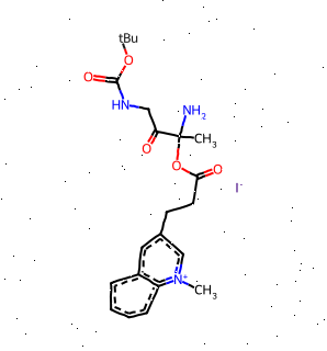 C[n+]1cc(CCC(=O)OC(C)(N)C(=O)CNC(=O)OC(C)(C)C)cc2ccccc21.[I-]